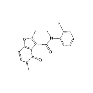 Cc1oc2ncn(C)c(=O)c2c1C(=O)N(C)c1ccccc1F